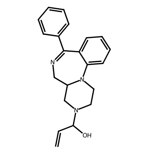 C=CC(O)N1CCN2c3ccccc3C(c3ccccc3)=NCC2C1